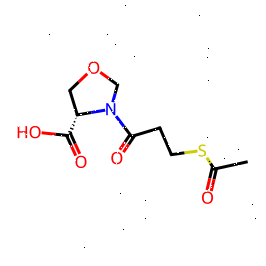 CC(=O)SCCC(=O)N1COC[C@H]1C(=O)O